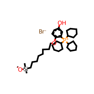 CO[Si](C)(C)CCCCCCCCOc1ccc(O)cc1[P+](C1CCCCC1)(C1CCCCC1)C1CCCCC1.[Br-]